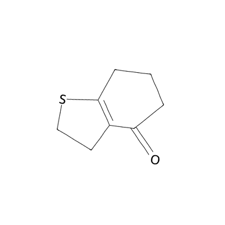 O=C1CCCC2=C1CCS2